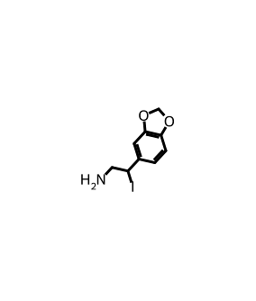 NCC(I)c1ccc2c(c1)OCO2